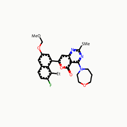 CCc1c(F)ccc2cc(OCOC)cc(-c3cc4nc(SC)nc(N5CCCOCC5)c4c(=O)o3)c12